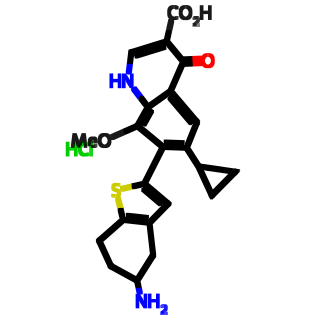 COc1c(-c2cc3c(s2)CCC(N)C3)c(C2CC2)cc2c(=O)c(C(=O)O)c[nH]c12.Cl